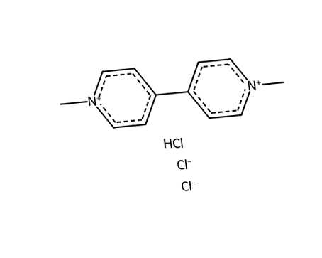 C[n+]1ccc(-c2cc[n+](C)cc2)cc1.Cl.[Cl-].[Cl-]